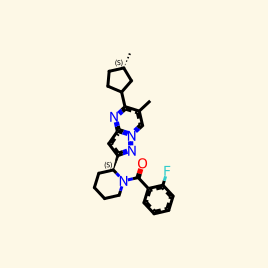 Cc1cn2nc([C@@H]3CCCCN3C(=O)c3ccccc3F)cc2nc1C1CC[C@H](C)C1